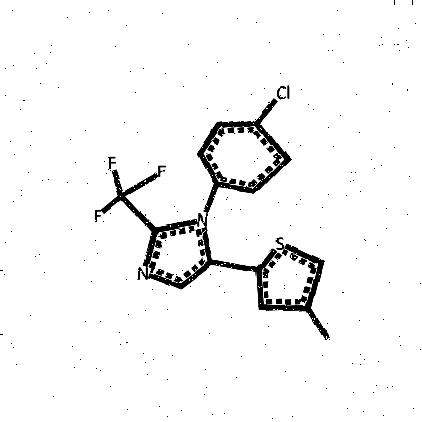 Cc1csc(-c2cnc(C(F)(F)F)n2-c2ccc(Cl)cc2)c1